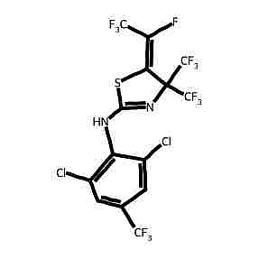 F/C(=C1/SC(Nc2c(Cl)cc(C(F)(F)F)cc2Cl)=NC1(C(F)(F)F)C(F)(F)F)C(F)(F)F